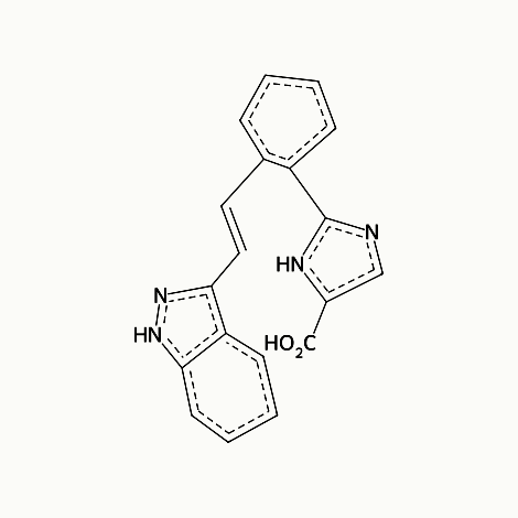 O=C(O)c1cnc(-c2ccccc2C=Cc2n[nH]c3ccccc23)[nH]1